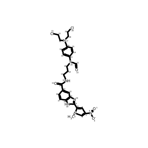 Cn1cc([N+](=O)[O-])cc1-c1nc2cc(C(=O)NCCCN(C=O)c3ccc(N(CCCl)CCCl)cc3)ccc2[nH]1